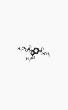 CCOC(=O)n1nc(OC)c2cc(C(=O)OC)ccc21